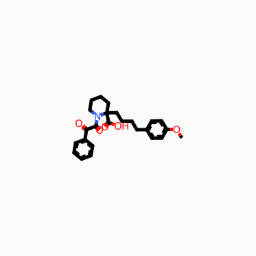 COc1ccc(CCCCC2(C(=O)O)CCCCN2C(=O)C(=O)c2ccccc2)cc1